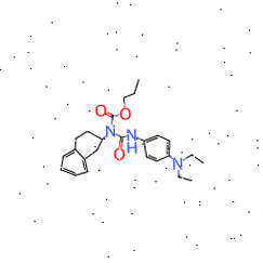 CCCOC(=O)N(C(=O)Nc1ccc(N(CC)CC)cc1)C1CCc2ccccc2C1